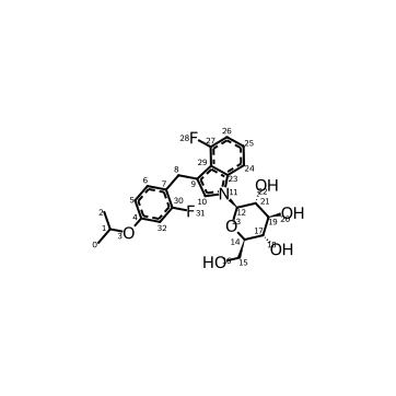 CC(C)Oc1ccc(Cc2cn([C@@H]3O[C@H](CO)[C@@H](O)[C@H](O)[C@H]3O)c3cccc(F)c23)c(F)c1